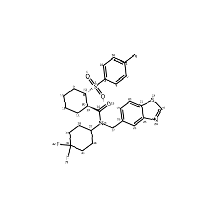 Cc1ccc(S(=O)(=O)[C@H]2CCCC[C@@H]2C(=O)N(Cc2ccc3scnc3c2)C2CCC(F)(F)CC2)cc1